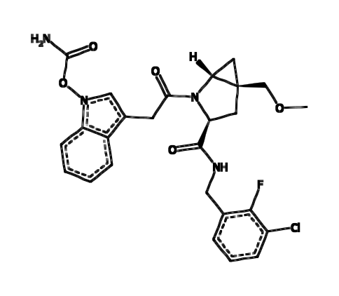 COC[C@@]12C[C@@H](C(=O)NCc3cccc(Cl)c3F)N(C(=O)Cc3cn(OC(N)=O)c4ccccc34)[C@@H]1C2